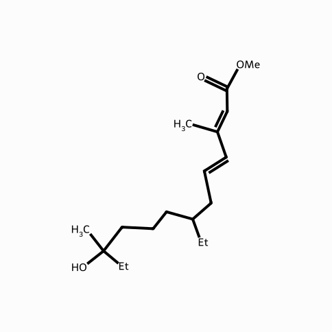 CCC(C/C=C/C(C)=C/C(=O)OC)CCCC(C)(O)CC